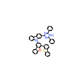 c1ccc(C2=NC(c3ccc4c5ccccc5n(-c5cc(-c6cccc7c6sc6ccccc67)c6oc7ccccc7c6c5)c4c3)=NC(c3ccccc3)N2)cc1